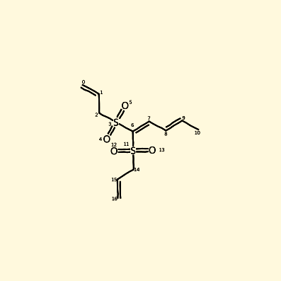 C=CCS(=O)(=O)C(=CC=CC)S(=O)(=O)CC=C